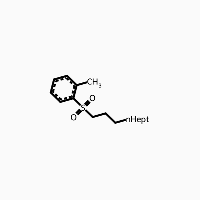 CCCCCCCCCCS(=O)(=O)c1ccccc1C